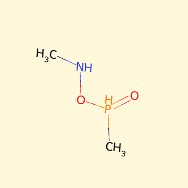 CNO[PH](C)=O